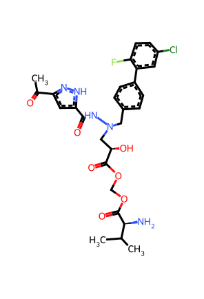 CC(=O)c1cc(C(=O)NN(Cc2ccc(-c3cc(Cl)ccc3F)cc2)C[C@@H](O)C(=O)OCOC(=O)[C@@H](N)C(C)C)[nH]n1